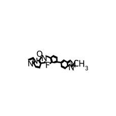 Cn1cc2cc(-c3ccc(CN4Cc5ccc6nccn6c5C4=O)c(F)c3)ccc2n1